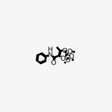 COP1(OC)(OC)OC(C)=C(C(=O)Nc2ccccc2)O1